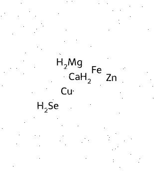 [CaH2].[Cu].[Fe].[MgH2].[SeH2].[Zn]